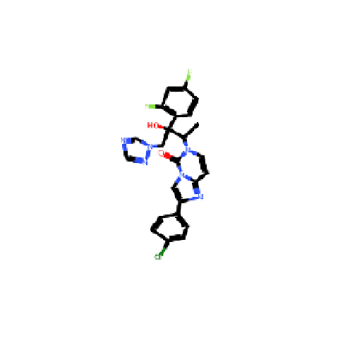 CC(n1ccc2nc(-c3ccc(Cl)cc3)cn2c1=O)C(O)(Cn1cncn1)c1ccc(F)cc1F